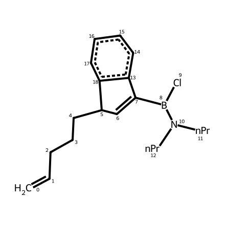 C=CCCCC1C=C(B(Cl)N(CCC)CCC)c2ccccc21